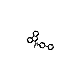 IN(C1=CCC(c2ccccc2)C=C1)c1cc2ccccc2c2ccccc12